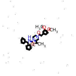 COc1ccc(CC(=O)N2CCN(C(=O)NC(c3ccccc3)c3ccccc3)C(C(C)C)C2)cc1OC